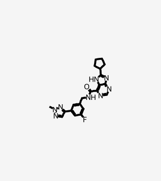 Cn1ncc(-c2cc(F)cc(CNC(=O)c3ncnc4nc(C5CCCC5)[nH]c34)c2)n1